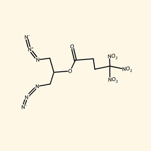 [N-]=[N+]=NCC(CN=[N+]=[N-])OC(=O)CCC([N+](=O)[O-])([N+](=O)[O-])[N+](=O)[O-]